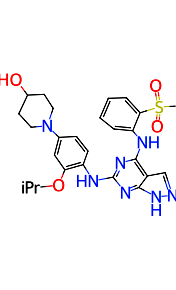 CC(C)Oc1cc(N2CCC(O)CC2)ccc1Nc1nc(Nc2ccccc2S(C)(=O)=O)c2cn[nH]c2n1